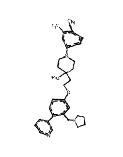 N#Cc1ccc(N2CCC(O)(CCOc3ccc(-c4cccnc4)c(CN4CCCC4)c3)CC2)cc1C(F)(F)F